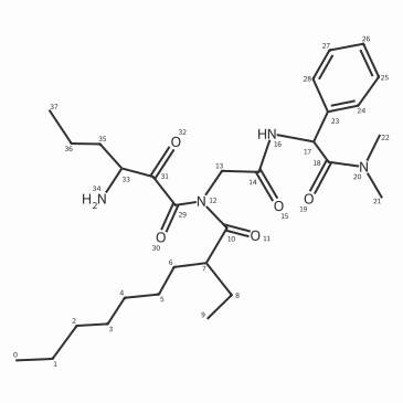 CCCCCCCC(CC)C(=O)N(CC(=O)NC(C(=O)N(C)C)c1ccccc1)C(=O)C(=O)C(N)CCC